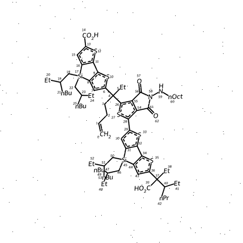 C=CCCC(CC)(c1cc2c(s1)-c1sc(C(=O)O)cc1[Si]2(CC(CC)CCCC)CC(CC)CCCC)c1sc(-c2cc3c(s2)-c2sc(C(CC)(C(=O)O)C(CC)CCC)cc2[Si]3(CC(CC)CCCC)CC(CC)CCCC)c2c1C(=O)N(NCCCCCCCC)C2=O